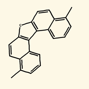 Cc1cccc2c1ccc1sc3ccc4c(C)cccc4c3c12